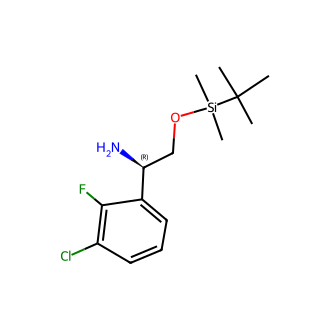 CC(C)(C)[Si](C)(C)OC[C@H](N)c1cccc(Cl)c1F